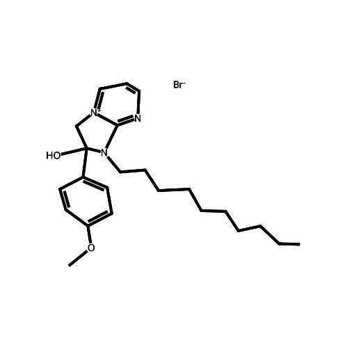 CCCCCCCCCCN1c2nccc[n+]2CC1(O)c1ccc(OC)cc1.[Br-]